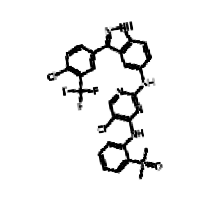 CP(C)(=O)c1ccccc1Nc1nc(Nc2ccc3[nH]nc(-c4ccc(Cl)c(C(F)(F)F)c4)c3c2)ncc1Cl